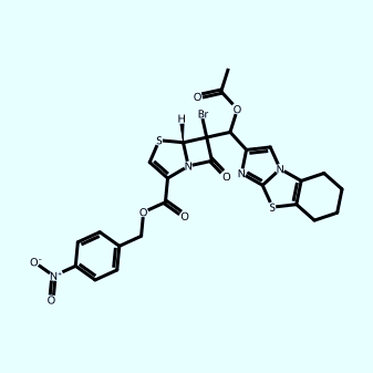 CC(=O)OC(c1cn2c3c(sc2n1)CCCC3)C1(Br)C(=O)N2C(C(=O)OCc3ccc([N+](=O)[O-])cc3)=CS[C@@H]21